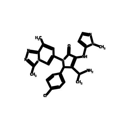 Cc1cc(N2C(=O)C(Nc3ccnn3C)=C(C(C)N)C2c2ccc(Cl)cc2)cn2c(C)nnc12